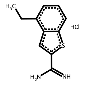 CCc1cccc2sc(C(=N)N)cc12.Cl